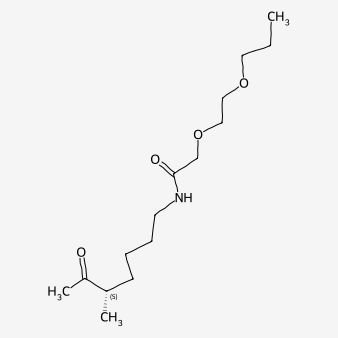 CCCOCCOCC(=O)NCCCC[C@H](C)C(C)=O